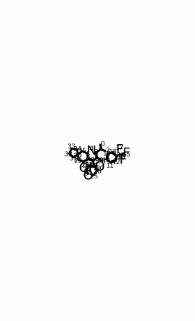 CC(C)c1nc2c(c3c1[C@@H](c1ccc(C(F)(F)F)cc1)OC31CCOCC1)C(O)CC1(CCCC1)C2